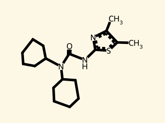 Cc1nc(NC(=O)N(C2CCCCC2)C2CCCCC2)sc1C